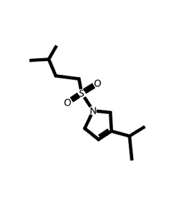 CC(C)CCS(=O)(=O)N1CC=C(C(C)C)C1